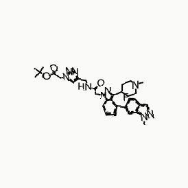 CN1CCC(c2nn(CC(=O)NCc3cn(CC(=O)OC(C)(C)C)nn3)c3cccc(-c4cc5c(cnn5C)cc4F)c23)CC1